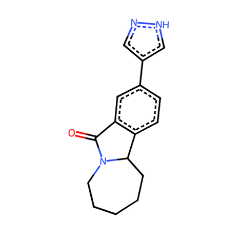 O=C1c2cc(-c3cn[nH]c3)ccc2C2CCCCCN12